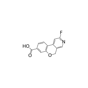 O=C(O)c1ccc2c(c1)OCc1cnc(F)cc1-2